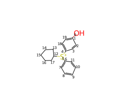 Oc1ccc([S+](c2ccccc2)C2CCCCC2)cc1